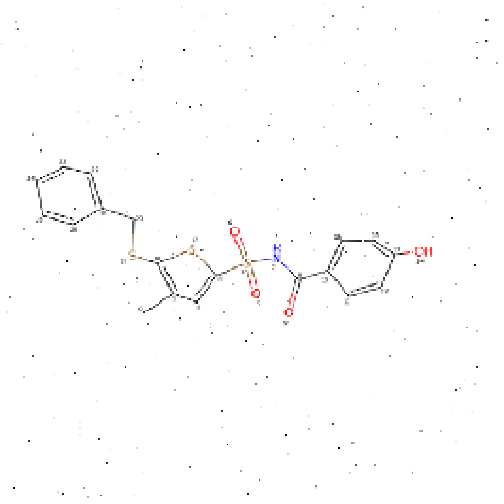 Cc1cc(S(=O)(=O)NC(=O)c2ccc(O)cc2)sc1SCc1ccccc1